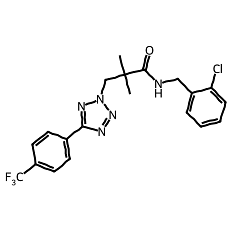 CC(C)(Cn1nnc(-c2ccc(C(F)(F)F)cc2)n1)C(=O)NCc1ccccc1Cl